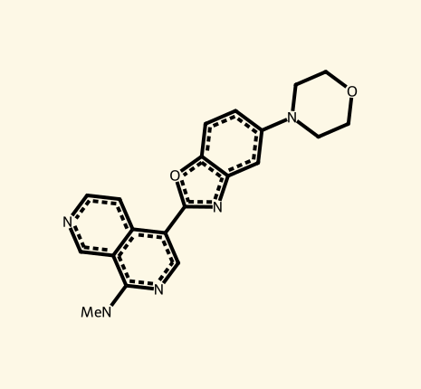 CNc1ncc(-c2nc3cc(N4CCOCC4)ccc3o2)c2ccncc12